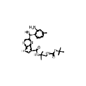 Cc1ccc(C(=N)c2cnc3[nH]cc(C(=O)NC(C)(C)CNC(=O)OC(C)(C)C)c3n2)c(N)c1